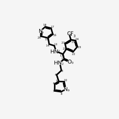 O=C(NCCc1cccnc1)C(NCCc1cccnc1)c1cccc(C(F)(F)F)c1